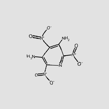 Nc1c([N+](=O)[O-])nc([N+](=O)[O-])c(N)c1[N+](=O)[O-]